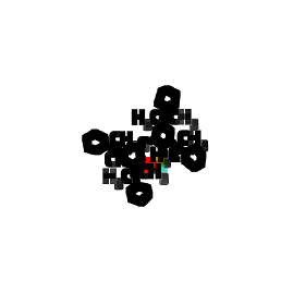 CC(C)(c1ccccc1)c1cc2c(c(C(C)(C)c3ccccc3)c1)CP(F)Oc1c(cc(C(C)(C)c3ccccc3)cc1C(C)(C)c1ccccc1)C2